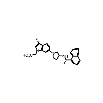 C[C@@H](N[C@H]1CCN(c2ccc3c(F)cn(CC(=O)O)c3c2)C1)c1cccc2ccccc12